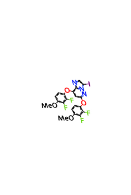 COc1ccc(Oc2cc(Oc3ccc(OC)c(F)c3F)c3ncc(I)n3n2)c(F)c1F